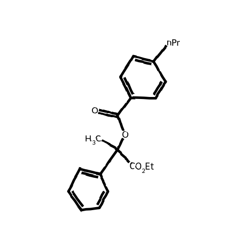 CCCc1ccc(C(=O)OC(C)(C(=O)OCC)c2ccccc2)cc1